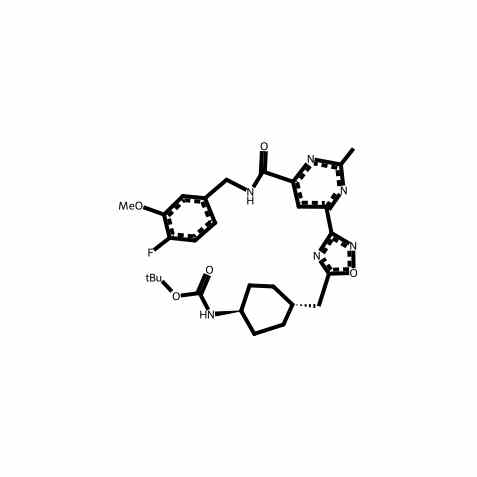 COc1cc(CNC(=O)c2cc(-c3noc(C[C@H]4CC[C@H](NC(=O)OC(C)(C)C)CC4)n3)nc(C)n2)ccc1F